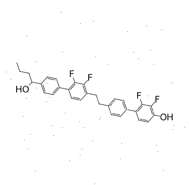 CCCC(O)c1ccc(-c2ccc(CCc3ccc(-c4ccc(O)c(F)c4F)cc3)c(F)c2F)cc1